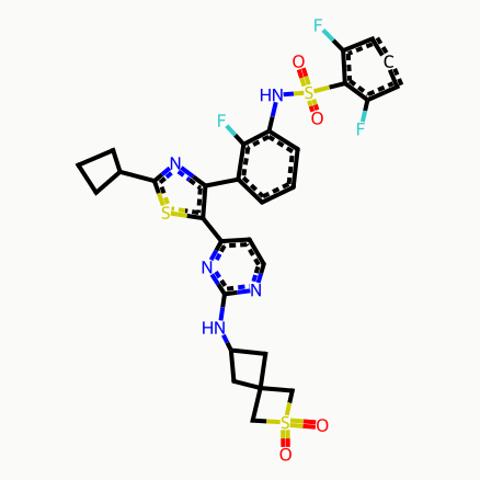 O=S1(=O)CC2(CC(Nc3nccc(-c4sc(C5CCC5)nc4-c4cccc(NS(=O)(=O)c5c(F)cccc5F)c4F)n3)C2)C1